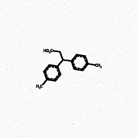 Cc1ccc(C(CC(=O)O)c2ccc(C)cc2)cc1